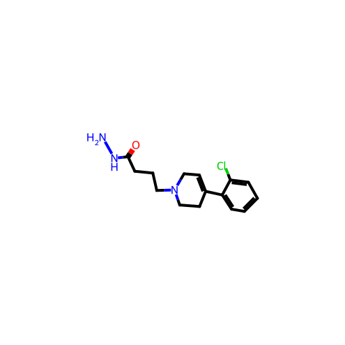 NNC(=O)CCCN1CC=C(c2ccccc2Cl)CC1